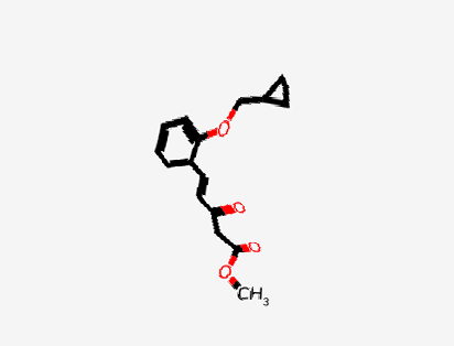 COC(=O)CC(=O)C=Cc1ccccc1OCC1CC1